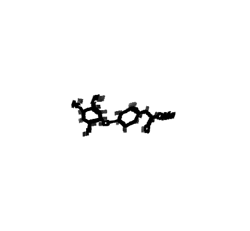 COC(=O)C[C@H]1CC[C@@H](Oc2cc(F)c(C(C)=O)cc2F)CC1